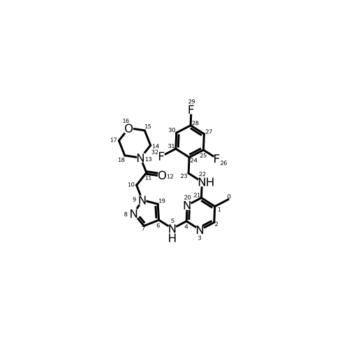 Cc1cnc(Nc2cnn(CC(=O)N3CCOCC3)c2)nc1NCc1c(F)cc(F)cc1F